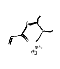 C=CC(=O)OC(C)N(C)C.Cl.N